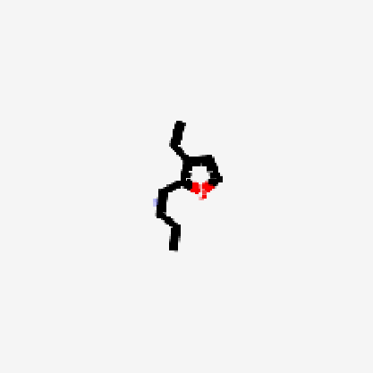 C=C/C=C\c1occc1C=C